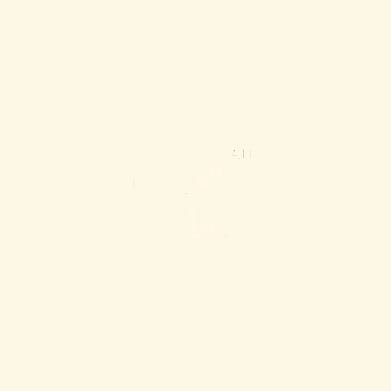 CC(=O)O.[AlH3].[Y]